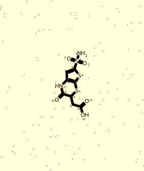 NS(=O)(=O)c1cc2c(s1)SC(CC(=O)O)C(=O)N2